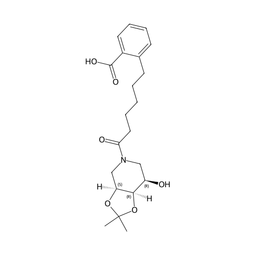 CC1(C)O[C@@H]2[C@H](O)CN(C(=O)CCCCCc3ccccc3C(=O)O)C[C@@H]2O1